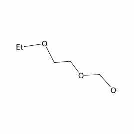 CCOCCOC[O]